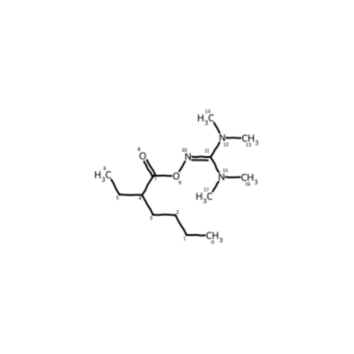 CCCCC(CC)C(=O)ON=C(N(C)C)N(C)C